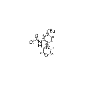 CCC(=O)Nc1cc(C(C)(C)C)ccc1N1CCOCC1